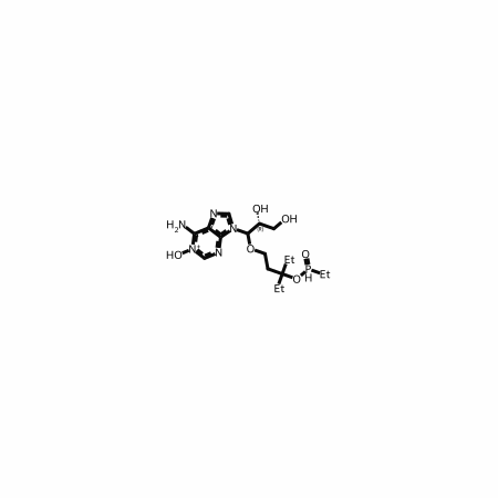 CC[PH](=O)OC(CC)(CC)CCOC([C@H](O)CO)n1cnc2c(N)[n+](O)cnc21